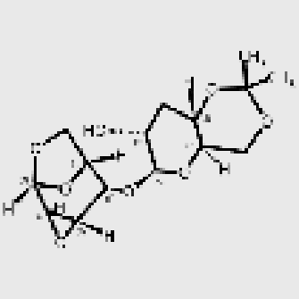 CC1(C)OC[C@H]2O[C@@H](O[C@H]3[C@@H]4O[C@@H]4[C@@H]4OC[C@H]3O4)[C@H](O)C[C@@H]2O1